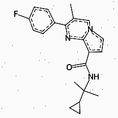 Cc1cn2ccc(C(=O)NC(C)(C)C3CC3)c2nc1-c1ccc(F)cc1